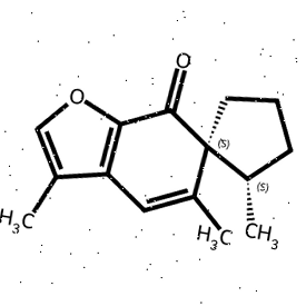 CC1=Cc2c(C)coc2C(=O)[C@]12CCC[C@@H]2C